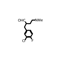 CNCCC(C=O)Cc1ccc(F)c(Cl)c1